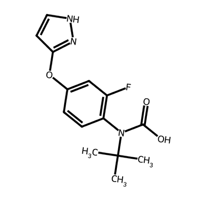 CC(C)(C)N(C(=O)O)c1ccc(Oc2cc[nH]n2)cc1F